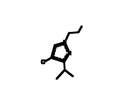 CCCn1cc(Cl)c(C(C)C)n1